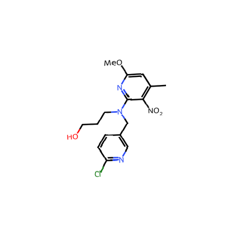 COc1cc(C)c([N+](=O)[O-])c(N(CCCO)Cc2ccc(Cl)nc2)n1